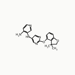 CC1(C)COc2cccc(Oc3ncc(Nc4cnccc4N)cn3)c21